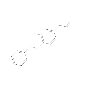 O=CCc1ccc(OCc2ccccc2)c(F)c1